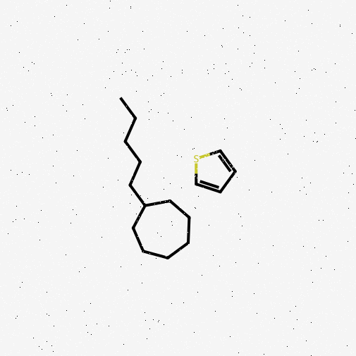 CCCCCC1CCCCCC1.c1ccsc1